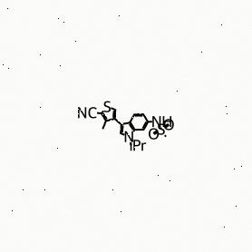 Cc1c(-c2cn(C(C)C)c3cc(NS(C)(=O)=O)ccc23)csc1C#N